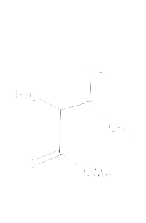 COC(=O)[CH](C)[Bi]([CH3])[CH3]